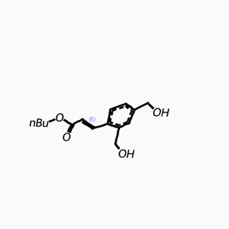 CCCCOC(=O)/C=C/c1ccc(CO)cc1CO